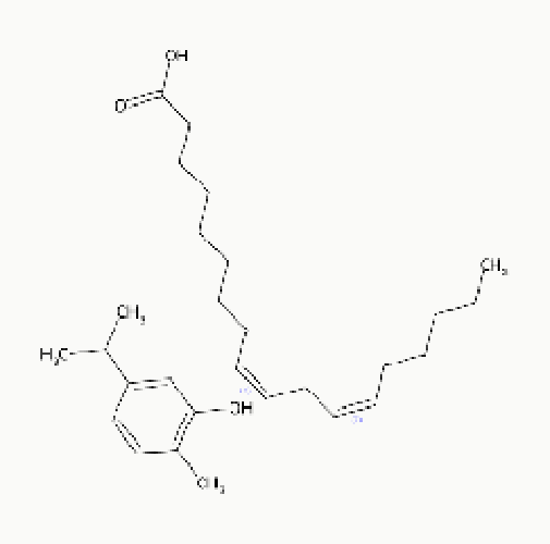 CCCCC/C=C\C/C=C\CCCCCCCC(=O)O.Cc1ccc(C(C)C)cc1O